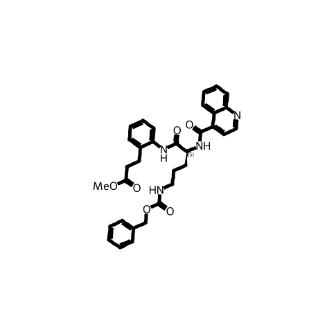 COC(=O)CCc1ccccc1NC(=O)[C@H](CCCNC(=O)OCc1ccccc1)NC(=O)c1ccnc2ccccc12